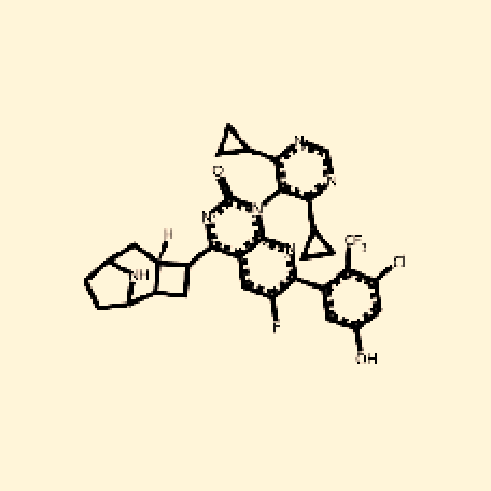 O=c1nc(C2CC3C4CCC(C[C@H]23)N4)c2cc(F)c(-c3cc(O)cc(Cl)c3C(F)(F)F)nc2n1-c1c(C2CC2)ncnc1C1CC1